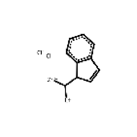 CC[CH]([Zr+2])C1C=Cc2ccccc21.[Cl-].[Cl-]